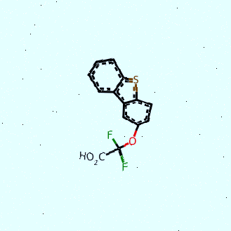 O=C(O)C(F)(F)Oc1ccc2sc3ccccc3c2c1